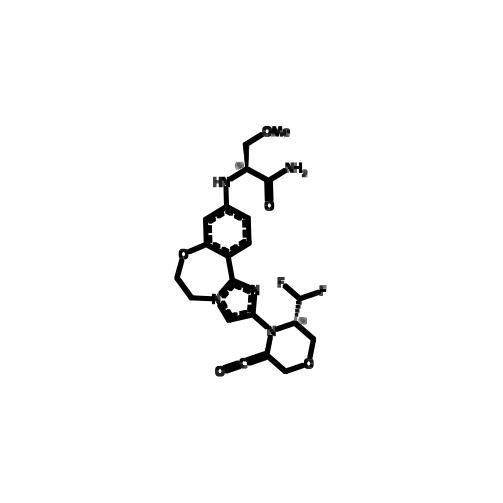 COC[C@H](Nc1ccc2c(c1)OCCn1cc(N3C(=C=O)COC[C@H]3C(F)F)nc1-2)C(N)=O